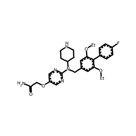 CCOc1cc(CN(c2ncc(OCC(N)=O)cn2)C2CCNCC2)cc(OCC)c1-c1ccc(F)cc1